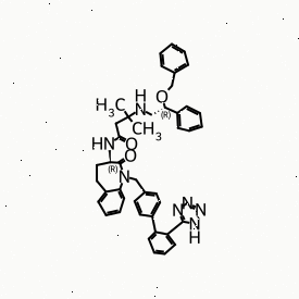 CC(C)(CC(=O)N[C@@H]1CCc2ccccc2N(Cc2ccc(-c3ccccc3-c3nnn[nH]3)cc2)C1=O)NC[C@H](OCc1ccccc1)c1ccccc1